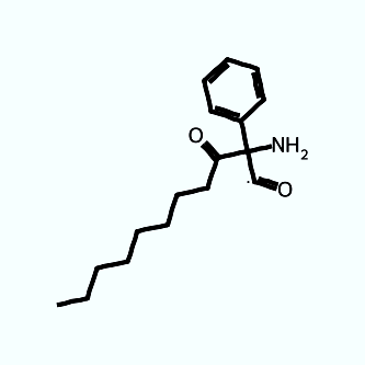 CCCCCCCCC(=O)C(N)([C]=O)c1ccccc1